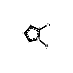 [CH2]Cc1cccn1CC